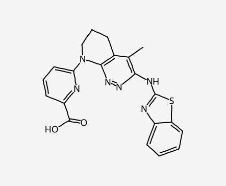 Cc1c(Nc2nc3ccccc3s2)nnc2c1CCCN2c1cccc(C(=O)O)n1